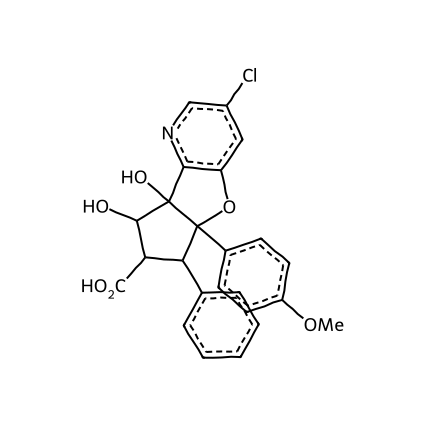 COc1ccc(C23Oc4cc(Cl)cnc4C2(O)C(O)C(C(=O)O)C3c2ccccc2)cc1